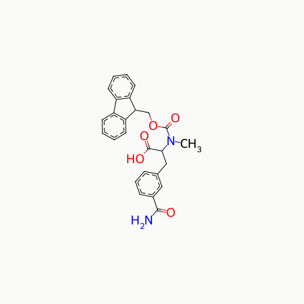 CN(C(=O)OCC1c2ccccc2-c2ccccc21)C(Cc1cccc(C(N)=O)c1)C(=O)O